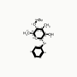 CCCCO[C@@H]1[C@@H](C)[C@@H](O)[C@H](Sc2ccccc2)O[C@H]1C